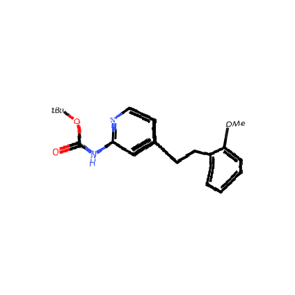 COc1ccccc1CCc1ccnc(NC(=O)OC(C)(C)C)c1